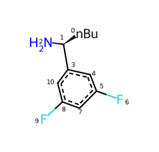 CCCC[C@H](N)c1cc(F)cc(F)c1